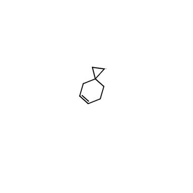 [CH]1CC12CC=CCC2